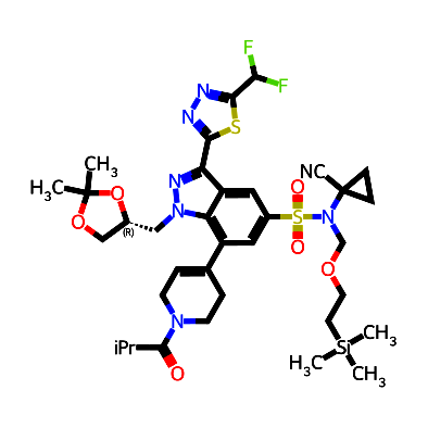 CC(C)C(=O)N1CC=C(c2cc(S(=O)(=O)N(COCC[Si](C)(C)C)C3(C#N)CC3)cc3c(-c4nnc(C(F)F)s4)nn(C[C@@H]4COC(C)(C)O4)c23)CC1